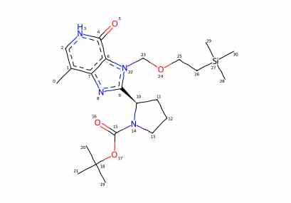 Cc1c[nH]c(=O)c2c1nc([C@H]1CCCN1C(=O)OC(C)(C)C)n2COCC[Si](C)(C)C